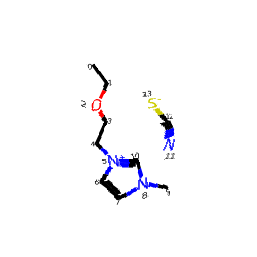 CCOCC[n+]1ccn(C)c1.N#C[S-]